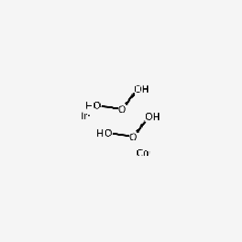 OOO.OOO.[Co].[Ir]